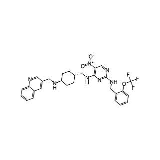 O=[N+]([O-])c1cnc(NCc2ccccc2OC(F)(F)F)nc1NC[C@H]1CC[C@H](NCc2cnc3ccccc3c2)CC1